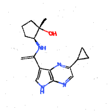 C=C(N[C@H]1CCC[C@]1(C)O)c1c[nH]c2ncc(C3CC3)nc12